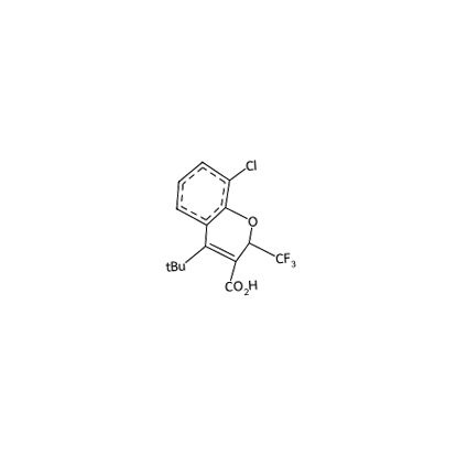 CC(C)(C)C1=C(C(=O)O)C(C(F)(F)F)Oc2c(Cl)cccc21